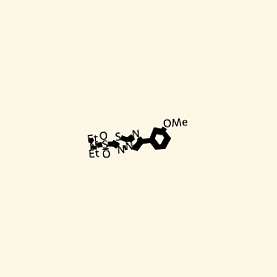 CCN(CC)S(=O)(=O)c1nn2cc(-c3cccc(OC)c3)nc2s1